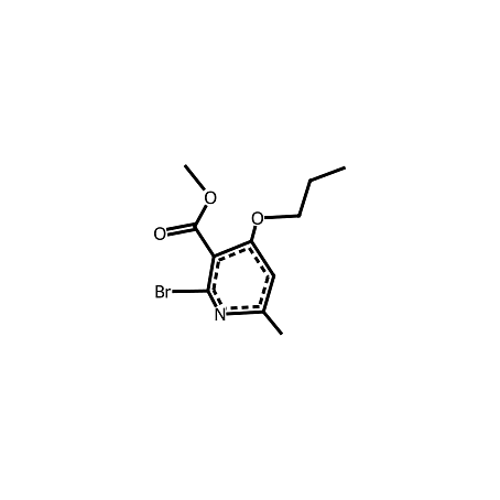 CCCOc1cc(C)nc(Br)c1C(=O)OC